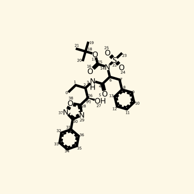 CCC(NC(=O)C(Cc1ccccc1)N(C(=O)OC(C)(C)C)S(C)(=O)=O)[C@@H](O)c1nc(-c2ccccc2)no1